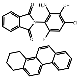 Nc1c(O)c(Cl)cc(F)c1N1C(=O)c2ccccc2C1=O.c1ccc2c(c1)ccc1c3c(ccc12)CCCC3